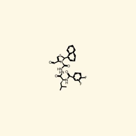 CC(C)C[C@H](NC(=O)c1ccc(F)c(F)c1)C(=O)NNC(=O)N1C([C]=O)=CSC1c1cccc2ccccc12